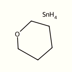 C1CCOCC1.[SnH4]